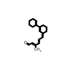 CC(C=CC=C1C=C(C2=CCCCC2)CCC1)=CC=O